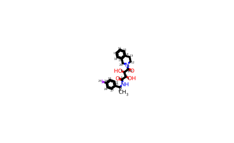 C[C@@H](NC(=O)C(O)C(O)C(=O)N1CCc2ccccc2C1)c1ccc(I)cc1